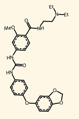 CCN(CC)CCNC(=O)c1ccc(NC(=O)Nc2ccc(Oc3ccc4c(c3)OCO4)cc2)cc1OC